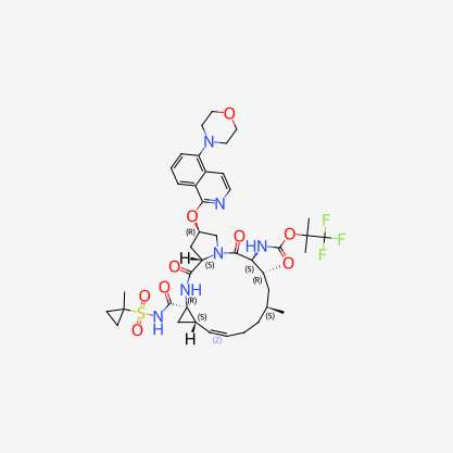 C[C@H]1CC/C=C\[C@@H]2C[C@@]2(C(=O)NS(=O)(=O)C2(C)CC2)NC(=O)[C@@H]2C[C@@H](Oc3nccc4c(N5CCOCC5)cccc34)CN2C(=O)[C@@H](NC(=O)OC(C)(C)C(F)(F)F)[C@H](C)C1